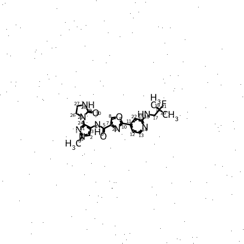 Cn1cc(NC(=O)c2coc(-c3ccnc(NCC(C)(C)F)c3)n2)c(N2CCNC2=O)n1